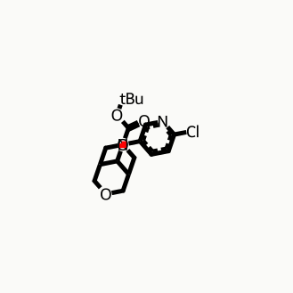 CC(C)(C)OC(=O)N1CC2COCC(C1)C2Oc1ccc(Cl)nc1